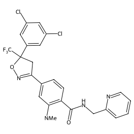 CNc1cc(C2=NOC(c3cc(Cl)cc(Cl)c3)(C(F)(F)F)C2)ccc1C(=O)NCc1ccccn1